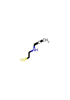 C=C=CNCCS